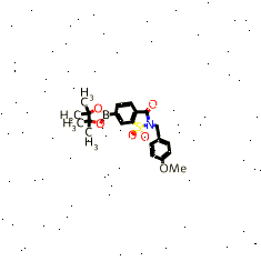 COc1ccc(CN2C(=O)c3ccc(B4OC(C)(C)C(C)(C)O4)cc3S2(=O)=O)cc1